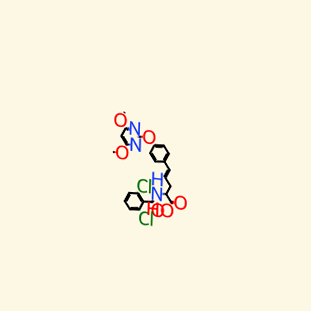 COc1cc(OC)nc(Oc2ccc(C=CCC(NC(=O)c3c(Cl)cccc3Cl)C(=O)O)cc2)n1